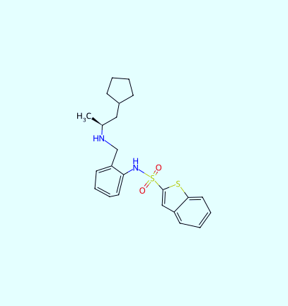 C[C@@H](CC1CCCC1)NCc1ccccc1NS(=O)(=O)c1cc2ccccc2s1